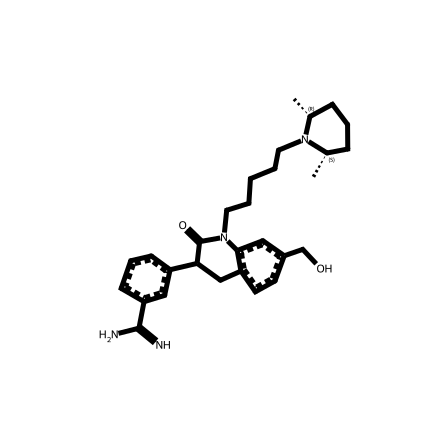 C[C@@H]1CCC[C@H](C)N1CCCCCN1C(=O)C(c2cccc(C(=N)N)c2)Cc2ccc(CO)cc21